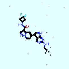 O=C(NC1CC(F)(F)C1)c1cnn2ccc(-c3c[nH]c4nc(NCCC(F)(F)F)ncc34)cc12